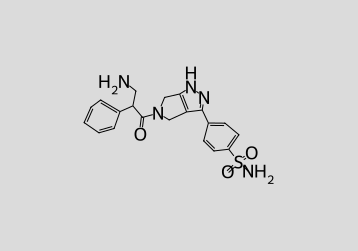 NCC(C(=O)N1Cc2[nH]nc(-c3ccc(S(N)(=O)=O)cc3)c2C1)c1ccccc1